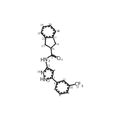 O=C(Nc1cc(-c2cccc(C(F)(F)F)c2)[nH]n1)C1Cc2ccccc2C1